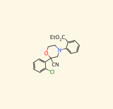 CCOC(=O)c1ccccc1N1CCOC(C#N)(c2ccccc2Cl)C1